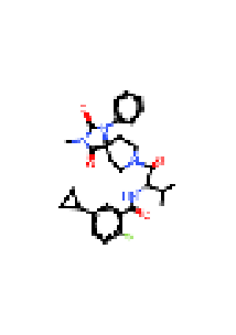 CC(C)[C@@H](NC(=O)c1cc(C2CC2)ccc1F)C(=O)N1CCC2(CC1)C(=O)N(C)C(=O)N2c1ccccc1